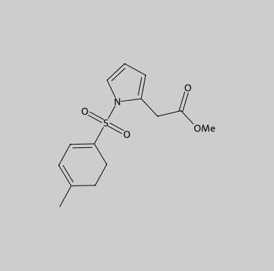 COC(=O)Cc1cccn1S(=O)(=O)C1=CC=C(C)CC1